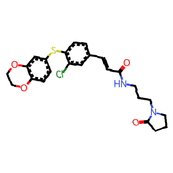 O=C(C=Cc1ccc(Sc2ccc3c(c2)OCCO3)c(Cl)c1)NCCCN1CCCC1=O